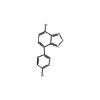 Brc1ccc(-c2ccc(Br)c3nsnc23)cc1